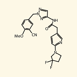 COc1ccc(Cn2ncc(NC(=O)Cc3ccc(N4CCC(F)(F)C4)nc3)n2)cc1C#N